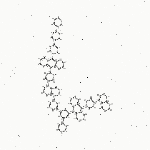 c1ccc(-c2ccc(-c3ccc(-c4c5ccccc5c(-c5ccc(-c6cccc7c(-c8cccc(-c9cc(-c%10ccccc%10)cc(-c%10c%11ccccc%11c(-c%11ccc(-c%12cccc%13ccccc%12%13)nc%11)c%11ccccc%10%11)c9)c8)cccc67)nc5)c5ccccc45)cc3)cc2)cc1